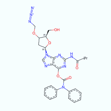 CC(C)C(=O)Nc1nc(OC(=O)N(c2ccccc2)c2ccccc2)c2ncn([C@H]3CC(OCN=[N+]=[N-])[C@@H](CO)O3)c2n1